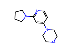 c1cc(N2CCNCC2)cc(N2CCCC2)n1